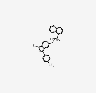 CCn1cc(-c2ccc(C(F)(F)F)cc2)c2cc(CN[C@H](C)c3cccc4ccccc34)ccc21